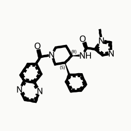 Cn1cncc1C(=O)N[C@@H]1CCN(C(=O)c2ccc3nccnc3c2)C[C@@H]1c1ccccc1